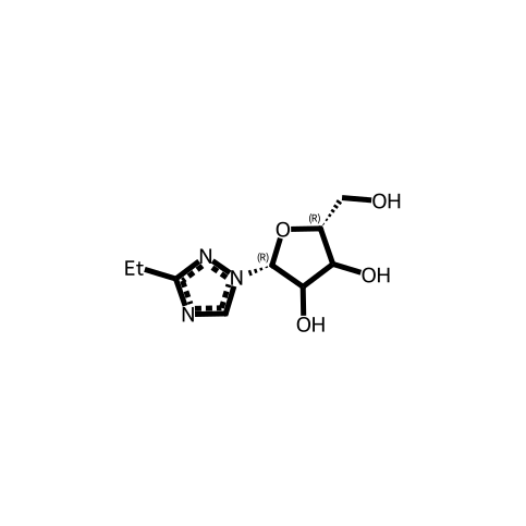 CCc1ncn([C@@H]2O[C@H](CO)C(O)C2O)n1